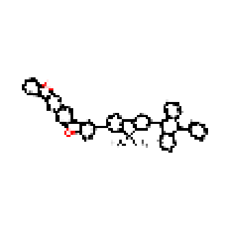 CC1(C)c2cc(-c3ccc4oc5cc6cc7c(cc6cc5c4c3)oc3ccccc37)ccc2-c2ccc(-c3c4ccccc4c(-c4ccccc4)c4ccccc34)cc21